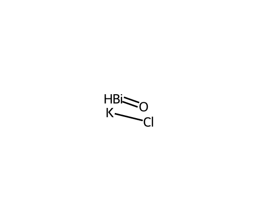 [Cl][K].[O]=[BiH]